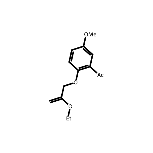 C=C(COc1ccc(OC)cc1C(C)=O)OCC